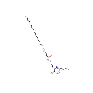 CCC=CCC=CCC=CCC=CCC=CCC=CCCC(=O)NCCCC[C@H](NC(=O)C=CC=O)C(=O)O